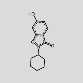 O=c1c2ccc(O)cc2on1C1CCCCC1